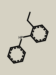 CCc1ccccc1Pc1ccccc1